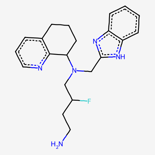 NCCC(F)CN(Cc1nc2ccccc2[nH]1)C1CCCc2cccnc21